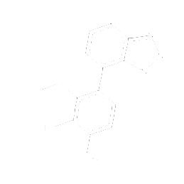 CCCCCCCCOc1c(-c2cccc3[nH]nnc23)ccc(C(C)(C)C)c1C(C)(C)C